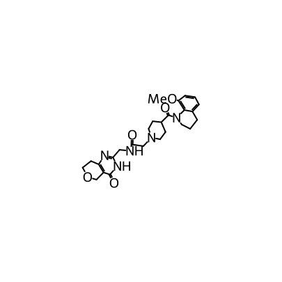 COc1cccc2c1N(C(=O)C1CCN(CC(=O)NCc3nc4c(c(=O)[nH]3)COCC4)CC1)CCC2